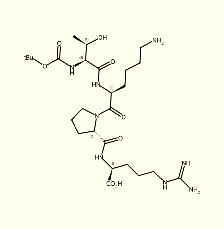 C[C@@H](O)[C@H](NC(=O)OC(C)(C)C)C(=O)N[C@@H](CCCCN)C(=O)N1CCC[C@H]1C(=O)N[C@@H](CCCNC(=N)N)C(=O)O